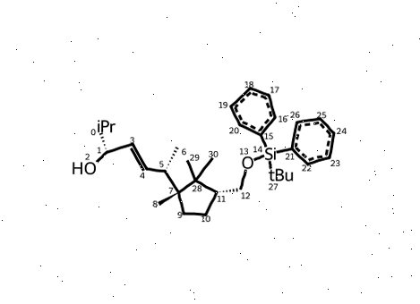 CC(C)[C@@H](O)/C=C/[C@H](C)[C@@]1(C)CC[C@@H](CO[Si](c2ccccc2)(c2ccccc2)C(C)(C)C)C1(C)C